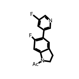 CC(=O)N1CCc2cc(-c3cncc(F)c3)c(F)cc21